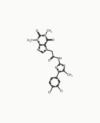 Cc1sc(NC(=O)Cn2cnc3c2c(=O)n(C)c(=O)n3C)nc1-c1ccc(Cl)c(Cl)c1